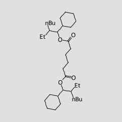 CCCCC(CC)C(OC(=O)CCCCC(=O)OC(C(CC)CCCC)C1CCCCC1)C1CCCCC1